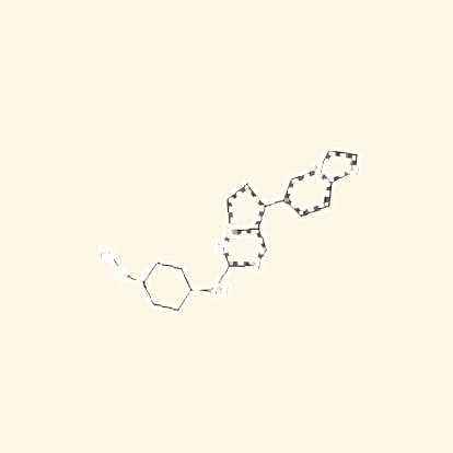 CCO[C@H]1CC[C@@H](Nc2ncc3c(-c4ccc5nccn5c4)ccn3n2)CC1